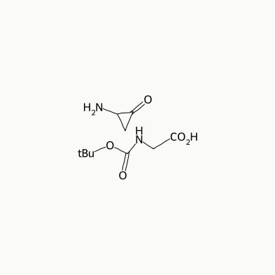 CC(C)(C)OC(=O)NCC(=O)O.NC1CC1=O